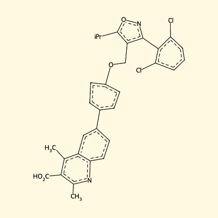 Cc1nc2ccc(-c3ccc(OCc4c(-c5c(Cl)cccc5Cl)noc4C(C)C)cc3)cc2c(C)c1C(=O)O